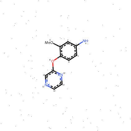 COc1cc([NH])ccc1Oc1cnccn1